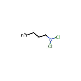 CCCCCCN(Cl)Cl